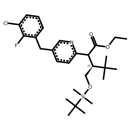 CCOC(=O)C(c1ccc(Cc2cccc(Cl)c2F)cn1)[C@H](CO[Si](C)(C)C(C)(C)C)C(C)(C)C